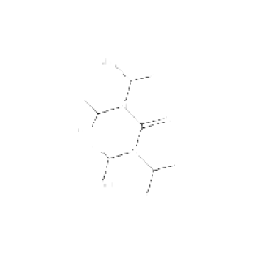 CCCC(O)N(C(=S)N(C(O)CCC)C(O)CCC)C(O)CCC